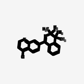 CC1(C)N=C(c2ccc3c(Cl)ccnc3c2)c2ccccc2C1(C)C